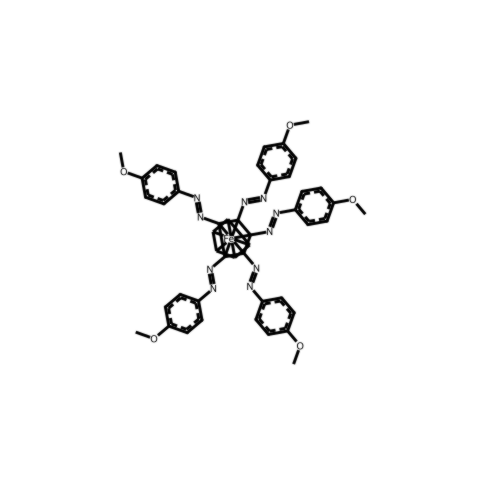 COc1ccc(N=N[C]23[C]4(N=Nc5ccc(OC)cc5)[C]5(N=Nc6ccc(OC)cc6)[C]6(N=Nc7ccc(OC)cc7)[C]2(N=Nc2ccc(OC)cc2)[Fe]34562789[CH]3[CH]2[CH]7[CH]8[CH]39)cc1